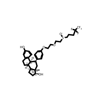 C[C@]12C[C@H](c3ccc(OCCOCC[S+]([O-])CCCC(F)(F)C(F)(F)F)cc3)[C@@H]3c4ccc(O)cc4CC[C@H]3[C@@H]1CC[C@@H]2O